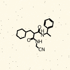 CC(NC(=O)C(CC1CCCCC1)C(=O)NCC#N)c1ccccc1